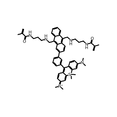 C=C(C)C(=O)NCCCNCc1c2ccccc2c(CNCCCNC(=O)C(=C)C)c2cc(-c3cccc(C4=C5C=CC(=[N+](C)C)C=C5[Si](C)(C)c5cc(N(C)C)ccc54)c3)ccc12